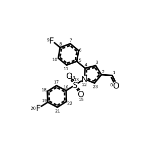 O=Cc1cc(-c2ccc(F)cc2)n(S(=O)(=O)c2ccc(F)cc2)c1